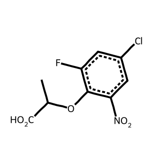 CC(Oc1c(F)cc(Cl)cc1[N+](=O)[O-])C(=O)O